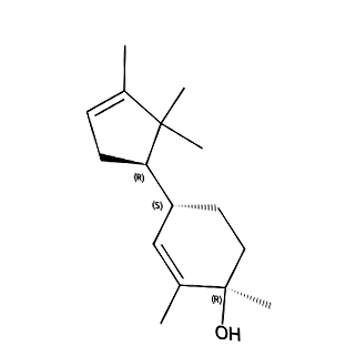 CC1=CC[C@H]([C@H]2C=C(C)[C@](C)(O)CC2)C1(C)C